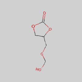 O=C1OCC(COCO)O1